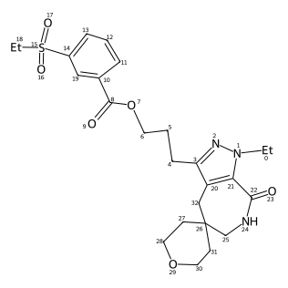 CCn1nc(CCCOC(=O)c2cccc(S(=O)(=O)CC)c2)c2c1C(=O)NCC1(CCOCC1)C2